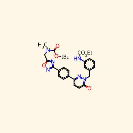 CCOC(=O)Nc1cccc(Cn2nc(-c3ccc(-c4noc(CN(C)C(=O)OC(C)(C)C)n4)cc3)ccc2=O)c1